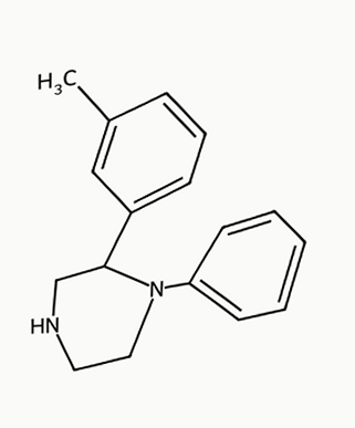 Cc1cccc(C2CNCCN2c2ccccc2)c1